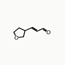 O=C/C=C/C1CCOC1